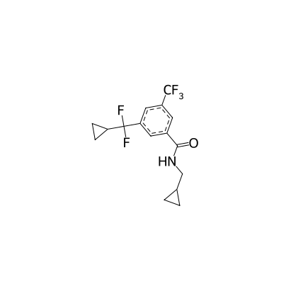 O=C(NCC1CC1)c1cc(C(F)(F)F)cc(C(F)(F)C2CC2)c1